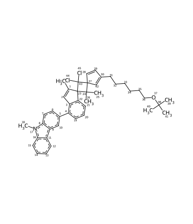 CC1=Cc2c(-c3ccc4c(c3)c3ccccc3n4C)cccc2C12C(C)(C)C1(C=CC(CCCCCCOC(C)(C)C)=C1)C2(Cl)Cl